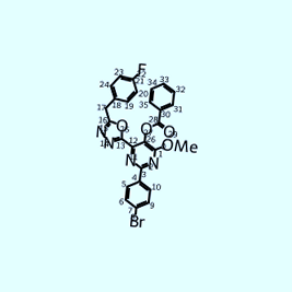 COc1nc(-c2ccc(Br)cc2)nc(-c2nnc(Cc3ccc(F)cc3)o2)c1OC(=O)c1ccccc1